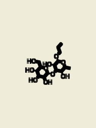 CCCO[C@@H]1OC(C)[C@H](O)C(O[C@H]2OC(CO)[C@@H](O)C(O)C2O)[C@@H]1O